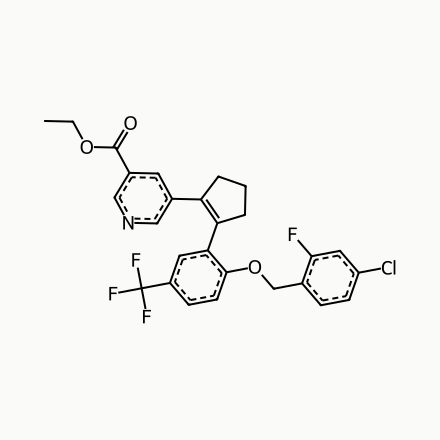 CCOC(=O)c1cncc(C2=C(c3cc(C(F)(F)F)ccc3OCc3ccc(Cl)cc3F)CCC2)c1